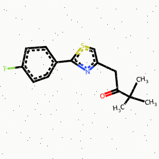 CC(C)(C)C(=O)Cc1csc(-c2ccc(F)cc2)n1